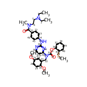 CCN(CC)CCN(C)C(=O)c1ccc(Nc2nccc(N(Cc3cc(OC)ccc3OC)C(=O)Oc3ccccc3SC)n2)cc1